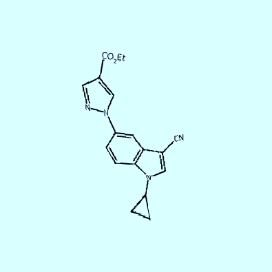 CCOC(=O)c1cnn(-c2ccc3c(c2)c(C#N)cn3C2CC2)c1